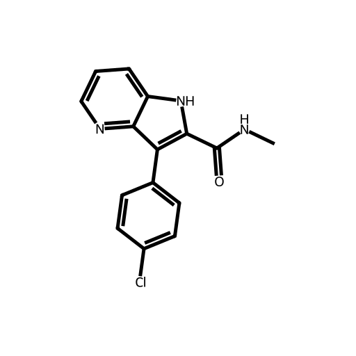 CNC(=O)c1[nH]c2cccnc2c1-c1ccc(Cl)cc1